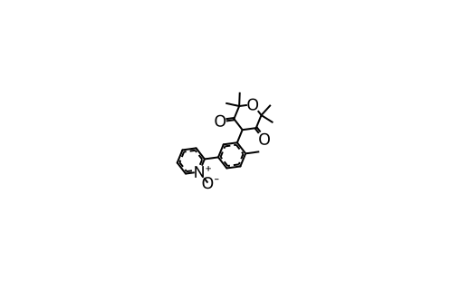 Cc1ccc(-c2cccc[n+]2[O-])cc1C1C(=O)C(C)(C)OC(C)(C)C1=O